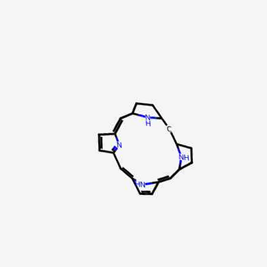 C1=CC2=NC1=CC1CCC(CC3CCC(C=c4ccc([nH]4)=C2)N3)N1